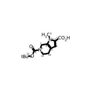 Cn1c(C(=O)O)cc2c1CN(C(=O)OC(C)(C)C)CC2